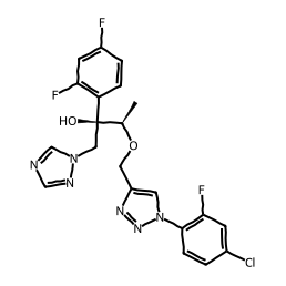 C[C@@H](OCc1cn(-c2ccc(Cl)cc2F)nn1)[C@](O)(Cn1cncn1)c1ccc(F)cc1F